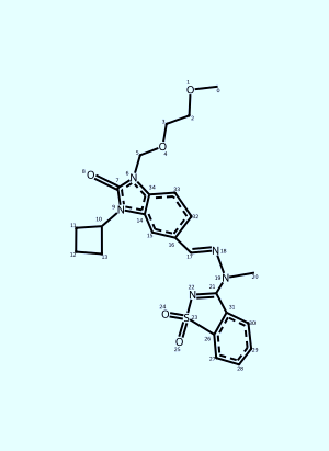 COCCOCn1c(=O)n(C2CCC2)c2cc(/C=N/N(C)C3=NS(=O)(=O)c4ccccc43)ccc21